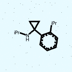 CC(C)NC1(c2ccccc2C(C)C)CC1